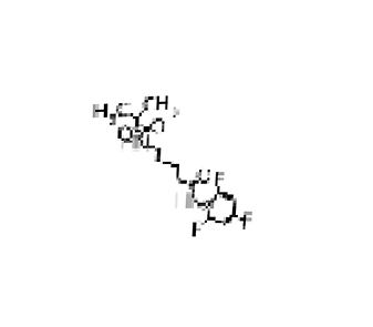 CC(C)S(=O)(=O)NCCCCC(=O)N[C@H]1C(F)=CC(F)=CC1F